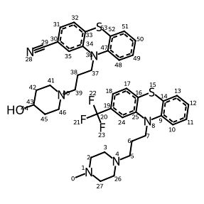 CN1CCN(CCCN2c3ccccc3Sc3ccc(C(F)(F)F)cc32)CC1.N#Cc1ccc2c(c1)N(CCCN1CCC(O)CC1)c1ccccc1S2